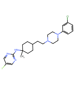 CC1(Nc2ncc(F)cn2)CCC(CCN2CCN(c3cccc(Cl)c3)CC2)CC1